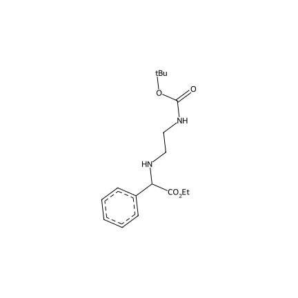 CCOC(=O)C(NCCNC(=O)OC(C)(C)C)c1ccccc1